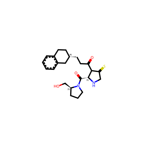 O=C(CC[C@H]1CCc2ccccc2C1)C1C(=S)CN[C@@H]1C(=O)N1CCC[C@H]1CO